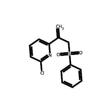 C=C(CS(=O)(=O)c1ccccc1)c1cccc(Cl)n1